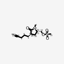 CN1C(=O)[C@H](CCCC#N)C[C@H]1COS(C)(=O)=O